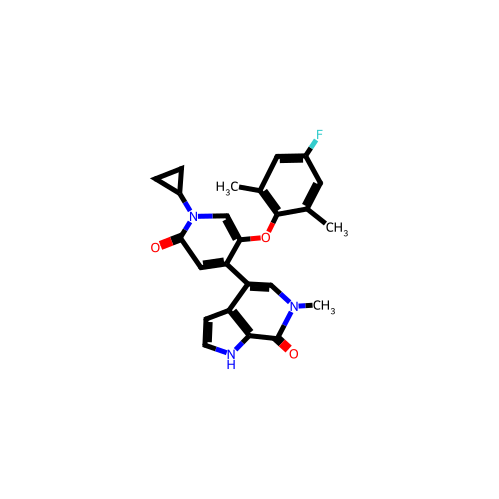 Cc1cc(F)cc(C)c1Oc1cn(C2CC2)c(=O)cc1-c1cn(C)c(=O)c2[nH]ccc12